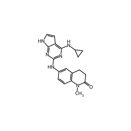 CN1C(=O)CCc2cc(Nc3nc(NC4CC4)c4cc[nH]c4n3)ccc21